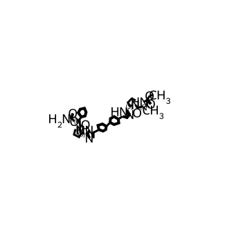 COC(=O)N[C@@H](C)C(=O)N1CCC[C@H]1c1ncc(-c2ccc(-c3ccc(-c4cnc([C@@H]5CCCN5C(=O)[C@H](OC(N)=O)c5ccccc5)[nH]4)cc3)cc2)[nH]1